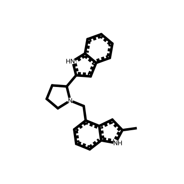 Cc1cc2c(CN3CCCC3c3cc4ccccc4[nH]3)cccc2[nH]1